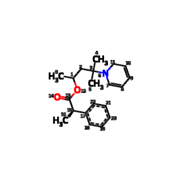 CC(CC(C)(C)N1C=CC=CC1)OC(=O)[C@H](C)c1ccccc1